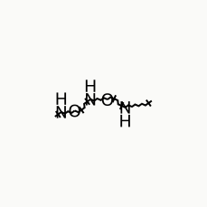 CC(C)(C)CCCCCCNC(C)(C)CCC(C)(C)COCCCCNC(C)(C)CCC(C)(C)COCCCNC(C)(C)C